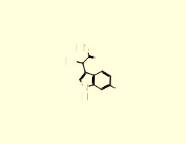 CCC(C(N)=O)c1c[nH]c2cc(F)ccc12